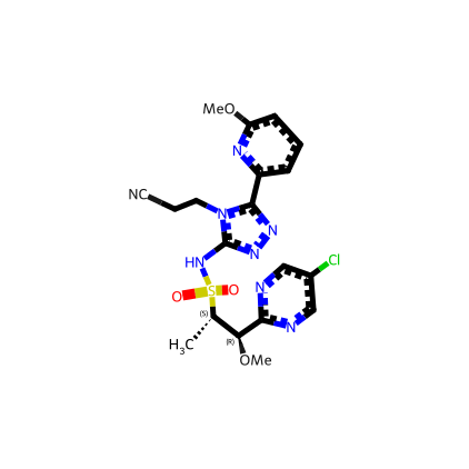 COc1cccc(-c2nnc(NS(=O)(=O)[C@@H](C)[C@H](OC)c3ncc(Cl)cn3)n2CCC#N)n1